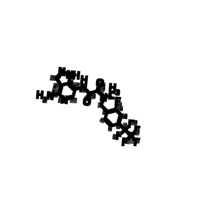 CN(Cc1ccc(C(F)(F)C(F)(F)F)cc1F)C(=O)C(=O)Nc1cnc(N)c2cn[nH]c12